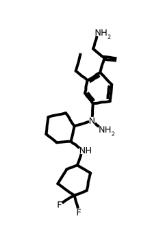 C=C(CN)c1ccc(N(N)C2CCCCC2NC2CCC(F)(F)CC2)cc1CC